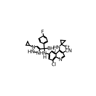 BC(Nc1cc(Cl)c2ncc(C#N)c(NC3(CC)CC3)c2c1)(C1=CN(C2CC2)NN1)c1ccc(F)cc1